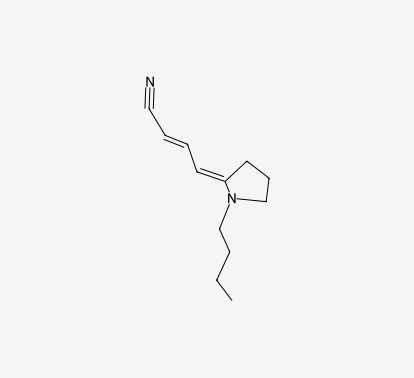 CCCCN1CCC/C1=C\C=C\C#N